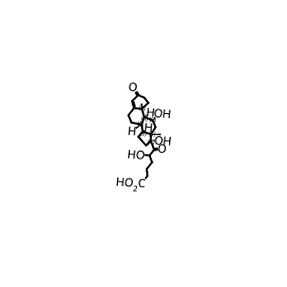 C[C@]12CCC(=O)C=C1CC[C@@H]1[C@@H]2[C@@H](O)C[C@@]2(C)[C@H]1CC[C@]2(O)C(=O)C(O)CCCC(=O)O